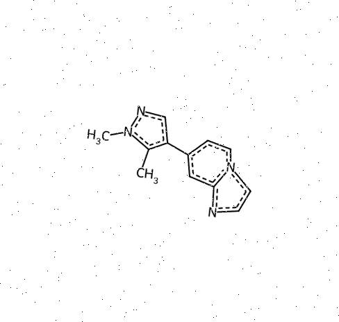 Cc1c(-c2ccn3ccnc3c2)cnn1C